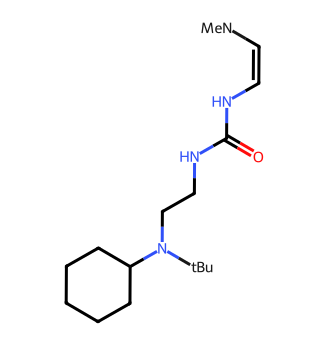 CN/C=C\NC(=O)NCCN(C1CCCCC1)C(C)(C)C